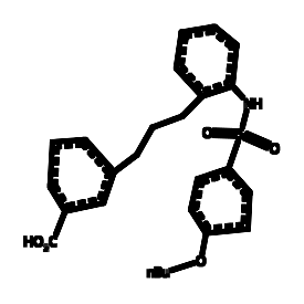 CCCCOc1ccc(S(=O)(=O)Nc2ccccc2CCCc2cccc(C(=O)O)c2)cc1